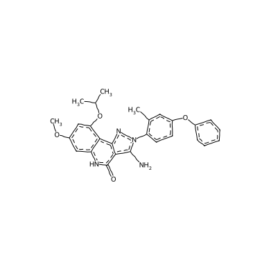 COc1cc(OC(C)C)c2c(c1)[nH]c(=O)c1c(N)n(-c3ccc(Oc4ccccc4)cc3C)nc12